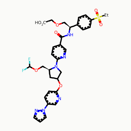 CCS(=O)(=O)c1ccc([C@H](COCC(=O)O)NC(=O)c2ccc(N3CC(Oc4ccc(-n5cccn5)cn4)C[C@H]3COC(F)F)nc2)cc1